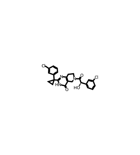 O=C([C@H](O)c1cccc(Cl)c1)N1CCc2nc(C3(c4cccc(Cl)c4)CC3)[nH]c(=O)c2C1